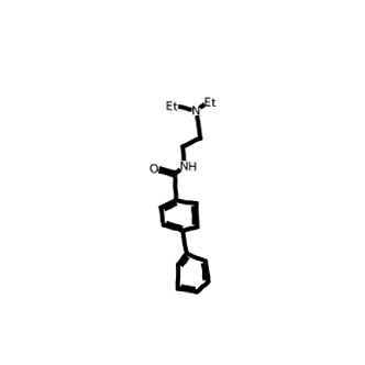 CCN(CC)CCNC(=O)c1ccc(-c2ccccc2)cc1